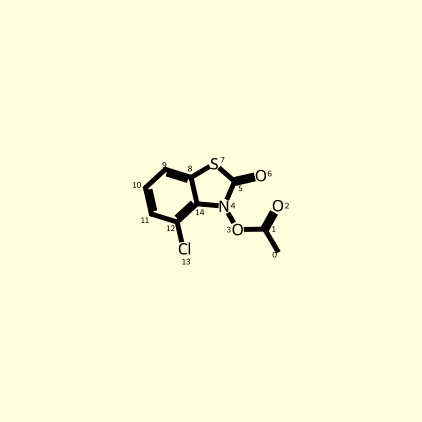 CC(=O)On1c(=O)sc2cccc(Cl)c21